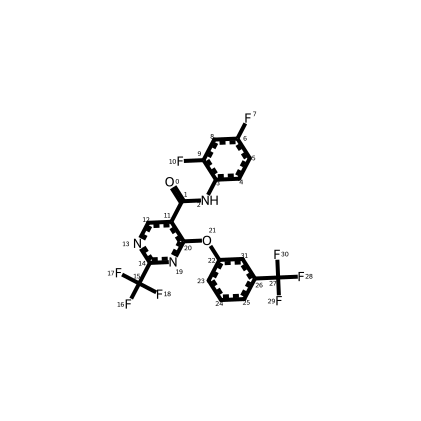 O=C(Nc1ccc(F)cc1F)c1cnc(C(F)(F)F)nc1Oc1cccc(C(F)(F)F)c1